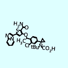 C[C@@H](Oc1cc(-c2cnc3ccccn23)sc1C(N)=O)c1ccc(C2(N(C(=O)O)C(C)(C)C)CC2)cc1Cl